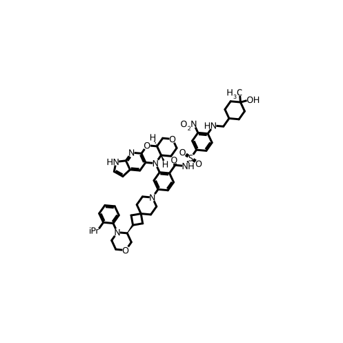 CC(C)c1ccccc1N1CCOC[C@@H]1C1CC2(CCN(c3ccc(C(=O)NS(=O)(=O)c4ccc(NCC5CCC(C)(O)CC5)c([N+](=O)[O-])c4)c(N4c5cc6cc[nH]c6nc5O[C@H]5COCC[C@@H]54)c3)CC2)C1